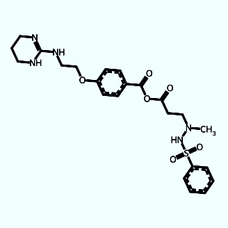 CN(CCC(=O)OC(=O)c1ccc(OCCNC2=NCCCN2)cc1)NS(=O)(=O)c1ccccc1